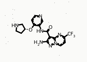 Nc1nn2ccc(C(F)(F)F)nc2c1C(=O)Nc1cnccc1O[C@@H]1CCNC1